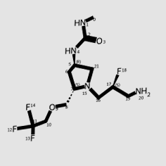 CNC(=O)N[C@@H]1C[C@@H](COCC(F)(F)F)N(C[C@@H](F)CN)C1